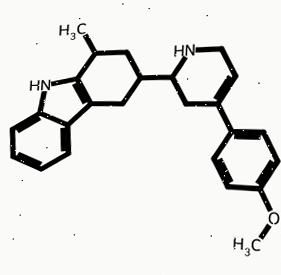 COc1ccc(C2=CCNC(C3Cc4c([nH]c5ccccc45)C(C)C3)C2)cc1